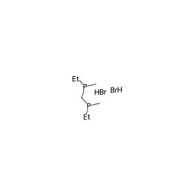 Br.Br.CCP(C)CP(C)CC